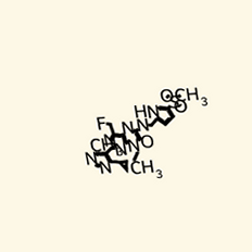 CCCn1c(=O)c(NCc2ccc(S(C)(=O)=O)cn2)nc2c(CF)nc(-c3c(C)ncnc3C3CC3)nc21